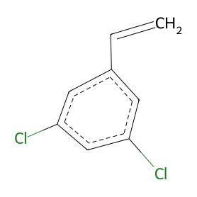 C=Cc1cc(Cl)cc(Cl)c1